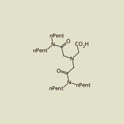 CCCCCN(CCCCC)C(=O)CN(CC(=O)O)CC(=O)N(CCCCC)CCCCC